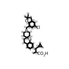 C[C@H](C(=O)O)[C@H](c1ccc2c(c1)OC1(CC2)CCN(Cc2cc(Cl)cc3c2OC(C)(C)C3)CC1)C1CC1